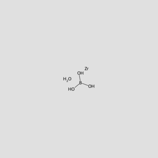 O.OB(O)O.[Zr]